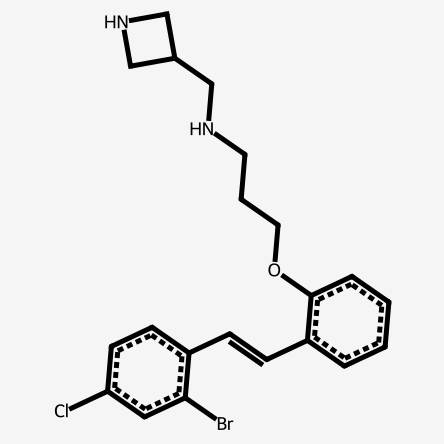 Clc1ccc(/C=C/c2ccccc2OCCCNCC2CNC2)c(Br)c1